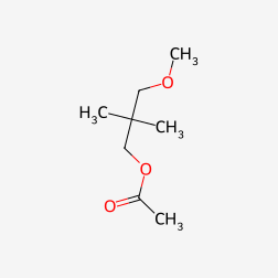 COCC(C)(C)COC(C)=O